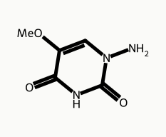 COc1cn(N)c(=O)[nH]c1=O